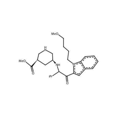 COCCCCn1c(C(=O)C(N[C@@H]2CNC[C@H](C(=O)OC)C2)C(C)C)cc2ccccc21